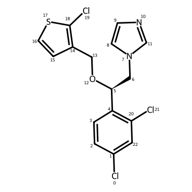 Clc1ccc([C@H](Cn2ccnc2)OCc2ccsc2Cl)c(Cl)c1